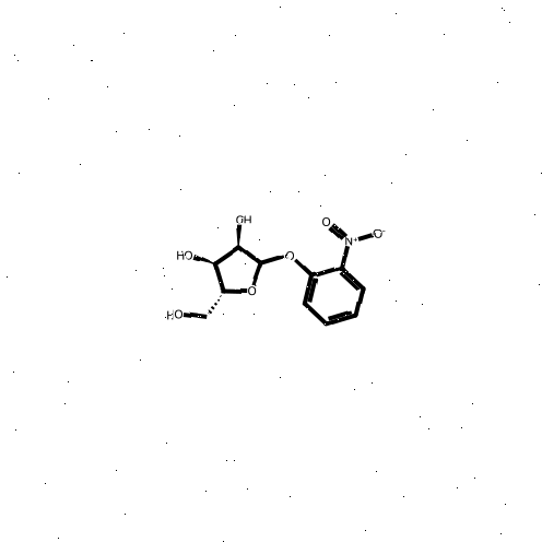 O=[N+]([O-])c1ccccc1OC1O[C@H](CO)[C@@H](O)[C@H]1O